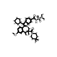 COc1ccc2c(c1)C(C)C(C)(C(=O)N1CCC(F)(F)CC1)Cn1c-2c(C2CCCCC2)c2ccc(C(=O)NS(=O)(=O)N(C)C)cc21